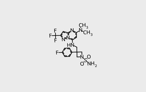 CN(C)c1cc(NCC2(c3ccc(F)cc3)CN(S(N)(=O)=O)C2)n2nc(C(F)(F)F)cc2n1